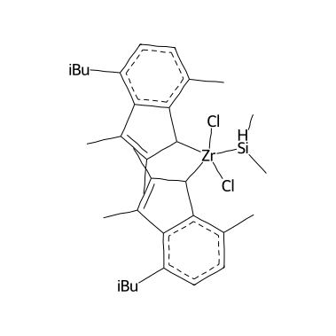 CCC(C)c1ccc(C)c2c1C(C)=C(C)[CH]2[Zr]([Cl])([Cl])([CH]1C(C)=C(C)c2c(C(C)CC)ccc(C)c21)[SiH](C)C